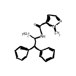 Cn1nccc1C(=O)NC(C(=O)O)C(c1ccccc1)c1ccccc1